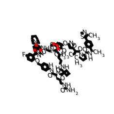 Cc1ncsc1-c1ccc([C@H](C)NC(=O)[C@@H]2CCCN2C(=O)C(c2cc(OCCN3CCN(CCOc4cc(N5C6CCC5CN(c5cc(-c7cc(F)ccc7OCc7ccc(NC(=O)[C@H](CCCNC(N)=O)NC(=O)C8(C(=O)NCCCCCN9C(=O)C=CC9=O)CCC8)cc7)nnc5N)C6)ccn4)[C@H](C)C3)no2)C(C)C)cc1